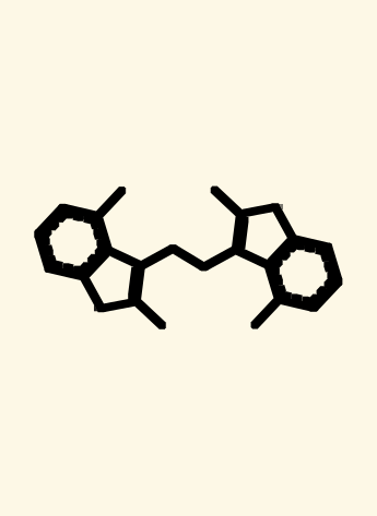 CC1=C(CCC2=C(C)[CH]c3cccc(C)c32)c2c(C)cccc2[CH]1